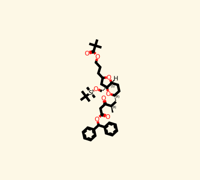 C[C@H](C[C@H]1CC[C@@H]2OC(CCCOC(=O)C(C)(C)C)C[C@]2(CO[Si](C)(C)C(C)(C)C)O1)C(=O)CC(=O)OC(c1ccccc1)c1ccccc1